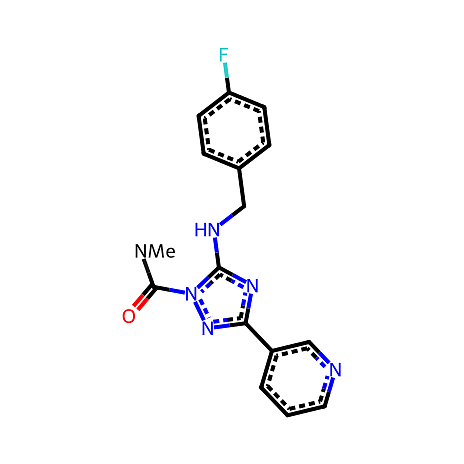 CNC(=O)n1nc(-c2cccnc2)nc1NCc1ccc(F)cc1